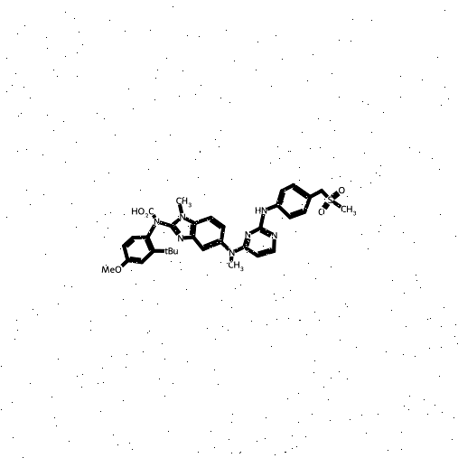 COc1ccc(N(C(=O)O)c2nc3cc(N(C)c4ccnc(Nc5ccc(CS(C)(=O)=O)cc5)n4)ccc3n2C)c(C(C)(C)C)c1